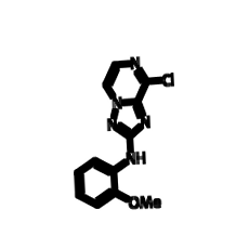 COc1ccccc1Nc1nc2c(Cl)nccn2n1